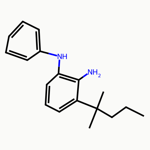 CCCC(C)(C)c1cccc(Nc2ccccc2)c1N